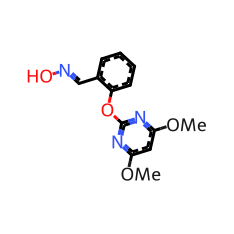 COc1cc(OC)nc(Oc2ccccc2C=NO)n1